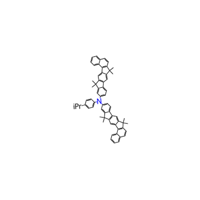 CC(C)c1ccc(N(c2ccc3c(c2)C(C)(C)c2cc4c(cc2-3)C(C)(C)c2ccc3ccccc3c2-4)c2ccc3c(c2)C(C)(C)c2cc4c(cc2-3)C(C)(C)c2ccc3ccccc3c2-4)cc1